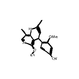 CCOc1ncc(C)c2c1C(c1ccc(C#N)cc1OC)C=C(C)N2